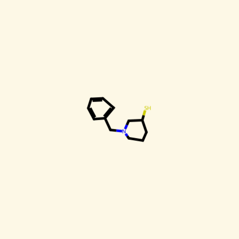 SC1CCCN(Cc2ccccc2)C1